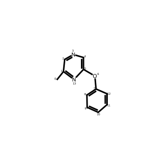 Cc1cncc(Oc2c[c]ccc2)n1